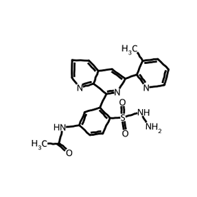 CC(=O)Nc1ccc(S(=O)(=O)NN)c(-c2nc(-c3ncccc3C)cc3cccnc23)c1